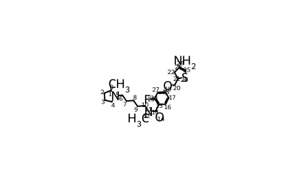 CC1CCCN1CCCCCN(C)C(=O)c1ccc(OCC2CC(N)=CS2)cc1F